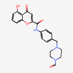 O=CN1CCN(Cc2ccc(NC(=O)c3cc(=O)c4c(O)cccc4o3)cc2)CC1